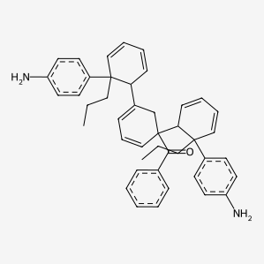 CCCC1(c2ccc(N)cc2)C=CC=CC1C1=CC=CC(C(=O)c2ccccc2)(C2C=CC=CC2(CCC)c2ccc(N)cc2)C1